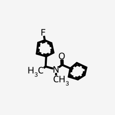 CC(c1ccc(F)cc1)N(C)C(=O)c1ccccc1